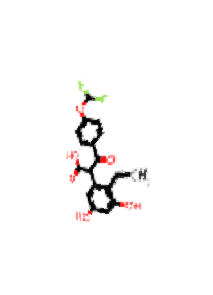 CCc1c(O)cc(O)cc1C(C(=O)O)C(=O)c1ccc(OC(F)F)cc1